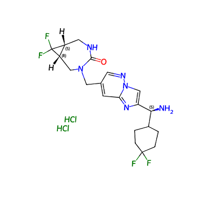 Cl.Cl.N[C@H](c1cn2ncc(CN3C[C@H]4[C@@H](CNC3=O)C4(F)F)cc2n1)C1CCC(F)(F)CC1